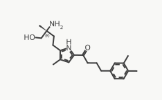 Cc1ccc(CCCC(=O)c2cc(C)c(CC[C@@](C)(N)CO)[nH]2)cc1C